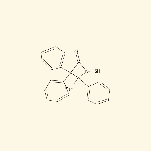 CC1(c2ccccc2)N(S)C(=O)C1(c1ccccc1)c1ccccc1